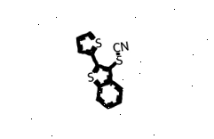 N#CSc1c(-c2cccs2)sc2ccccc12